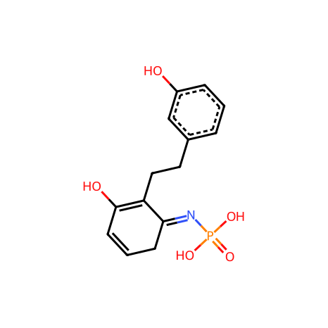 O=P(O)(O)N=C1CC=CC(O)=C1CCc1cccc(O)c1